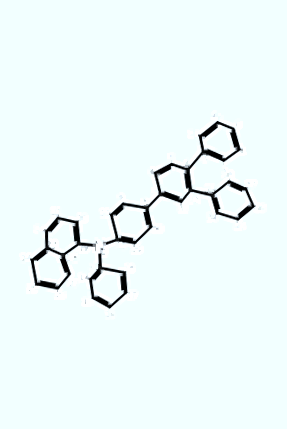 c1ccc(-c2ccc(-c3ccc(N(c4ccccc4)c4cccc5ccccc45)cc3)cc2-c2ccccc2)cc1